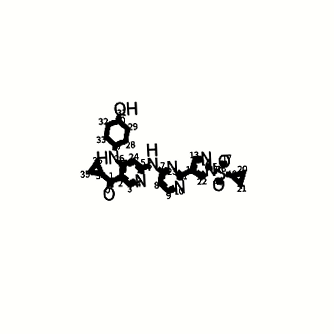 O=C(c1cnc(Nc2ccnc(-c3cnn(S(=O)(=O)C4CC4)c3)n2)cc1NC1CCC(O)CC1)C1CC1